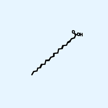 CCCCC=CCC=CCC=CCCC=CCC=CCCC(=O)O